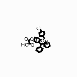 Clc1ccc(COC2(C(c3ccccc3)c3ccccc3)CC3CCN2CC3)cc1.O=C(O)C(=O)O